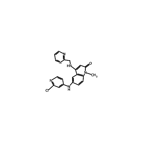 Cn1c(=O)cc(NCc2ncccn2)c2cc(Nc3ccnc(Cl)c3)ccc21